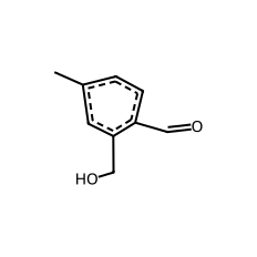 Cc1ccc(C=O)c(CO)c1